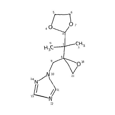 CC(C)(C1OCCO1)C1(Cn2cncn2)CO1